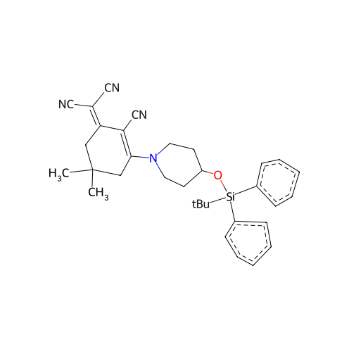 CC1(C)CC(=C(C#N)C#N)C(C#N)=C(N2CCC(O[Si](c3ccccc3)(c3ccccc3)C(C)(C)C)CC2)C1